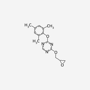 Cc1cc(C)c(Oc2ncnc(OCC3CO3)n2)c(C)c1